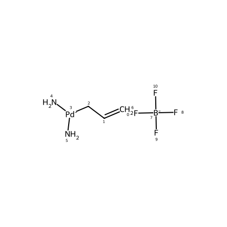 C=C[CH2][Pd-]([NH2])[NH2].F[B-](F)(F)F